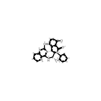 COc1nc(N[C@@H](C)c2cc3cccc(Cl)c3c(=O)n2-c2ccccc2)c2ncccc2n1